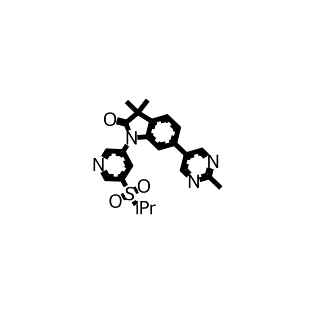 Cc1ncc(-c2ccc3c(c2)N(c2cncc(S(=O)(=O)C(C)C)c2)C(=O)C3(C)C)cn1